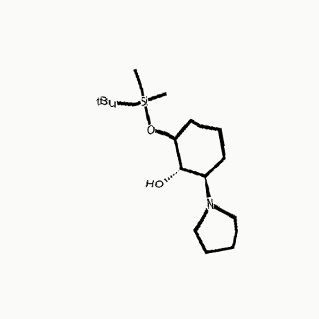 CC(C)(C)[Si](C)(C)OC1CCC[C@@H](N2CCCC2)[C@@H]1O